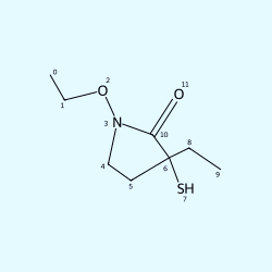 CCON1CCC(S)(CC)C1=O